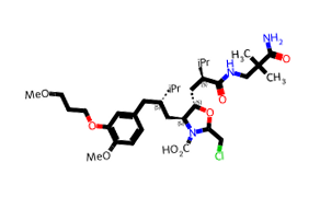 COCCCOc1cc(C[C@@H](C[C@H]2[C@H](C[C@H](C(=O)NCC(C)(C)C(N)=O)C(C)C)OC(CCl)N2C(=O)O)C(C)C)ccc1OC